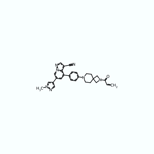 C=CC(=O)N1CC2(CCN(c3ccc(-c4cc(-c5cnn(C)c5)cn5ncc(C#N)c45)cc3)CC2)C1